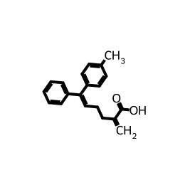 C=C(CCC=C(c1ccccc1)c1ccc(C)cc1)C(=O)O